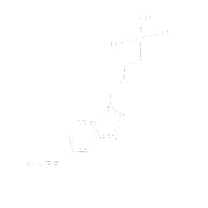 C=Cc1ccc2c(c1)ncn2COCC[Si](C)(C)C